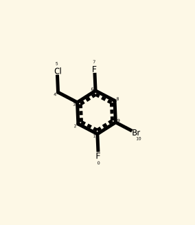 Fc1cc(CCl)c(F)cc1Br